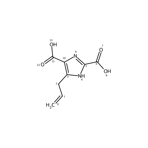 C=CCc1[nH]c(C(=O)O)nc1C(=O)O